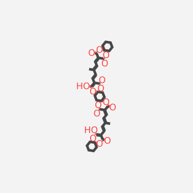 CC(/C=C/C1=C(O)OC2(CCCCC2)OC1=O)=C\C=C1C(=O)OC2(CCC3(CC2)OC(=O)C(/C=C/C(C)=C/C=C2C(=O)OC4(CCCCC4)OC2=O)=C(O)O3)OC1=O